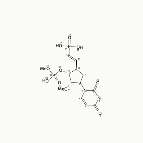 CO[C@H]1C(n2ccc(=O)[nH]c2=O)C[C@H](/C=C/P(=O)(O)O)[C@H]1OP(=O)(O)OC